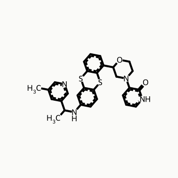 Cc1cncc(C(C)Nc2ccc3c(c2)Sc2cccc(C4CN(c5ccc[nH]c5=O)CCO4)c2S3)c1